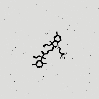 C=CCC(C)(C(=C)/C=C/C=C1/N(CCC(=O)O)c2ccc(C)cc2C1(C)CC=C)c1cc(C)ccc1C